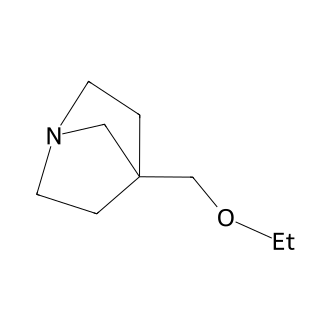 CCOCC12CCN(CC1)C2